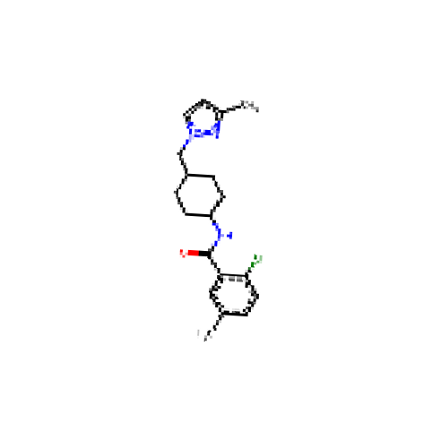 Cc1ccn(CC2CCC(NC(=O)c3cc(C(F)(F)F)ccc3Cl)CC2)n1